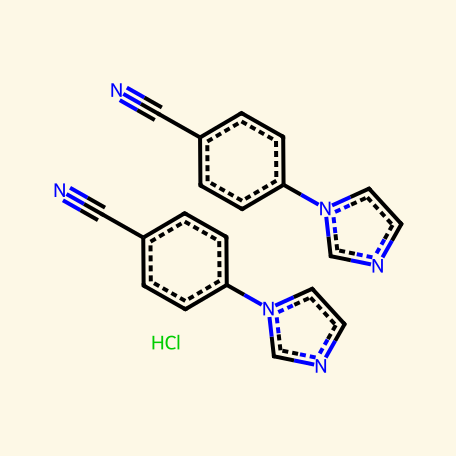 Cl.N#Cc1ccc(-n2ccnc2)cc1.N#Cc1ccc(-n2ccnc2)cc1